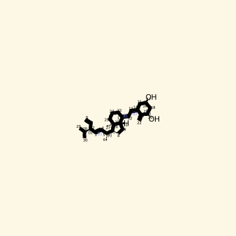 C=C[C@@H](/C=C/[C@@H](C)[C@H]1CC[C@H]2/C(=C/C=C3/C[C@@H](O)C[C@H](O)C3=C)CCC[C@]12C)C(C)C